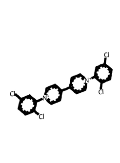 Clc1ccc(Cl)c(-[n+]2ccc(-c3cc[n+](-c4cc(Cl)ccc4Cl)cc3)cc2)c1